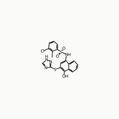 Cc1c(Cl)cccc1S(=O)(=O)Nc1cc(Sc2nc[nH]n2)c(O)c2ccccc12